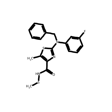 CSNC(=O)c1nc(N(Cc2ccccc2)c2cccc(F)c2)sc1C